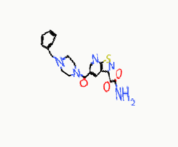 NC(=O)C(=O)c1nsc2ncc(C(=O)N3CCN(Cc4ccccc4)CC3)cc12